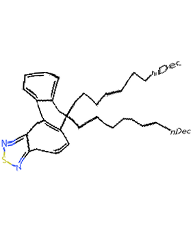 CCCCCCCCCCCCCCCCC1(CCCCCCCCCCCCCCCC)c2ccccc2-c2c1ccc1nsnc21